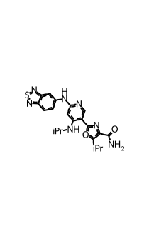 CC(C)Nc1cc(Nc2ccc3nsnc3c2)ncc1-c1nc(C(N)=O)c(C(C)C)o1